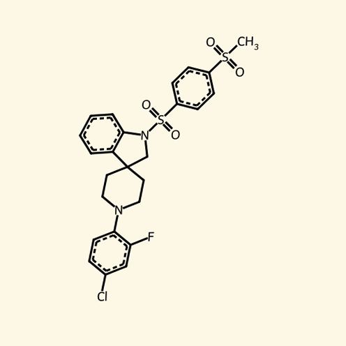 CS(=O)(=O)c1ccc(S(=O)(=O)N2CC3(CCN(c4ccc(Cl)cc4F)CC3)c3ccccc32)cc1